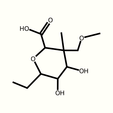 CCC1OC(C(=O)O)C(C)(COC)C(O)C1O